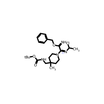 CC(Cl)/N=C(\C(=N)OCc1ccccc1)N1CCC(C)(CNC(=O)OC(C)(C)C)CC1